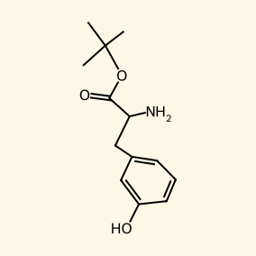 CC(C)(C)OC(=O)C(N)Cc1cccc(O)c1